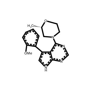 COc1ccccc1-c1c[nH]c2ncnc(N3CCO[C@@H](C)C3)c12